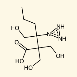 CCCC(CO)(n1[nH][nH]1)C(CO)(CO)C(=O)O